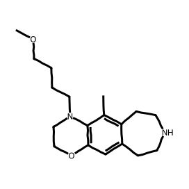 COCCCCN1CCOc2cc3c(c(C)c21)CCNCC3